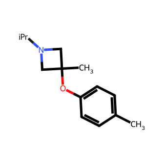 Cc1ccc(OC2(C)CN(C(C)C)C2)cc1